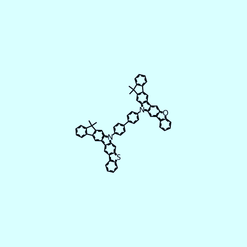 CC1(C)c2ccccc2-c2cc3c4cc5c(cc4n(-c4ccc(-c6ccc(-n7c8cc9c(cc8c8cc%10oc%11ccccc%11c%10cc87)-c7ccccc7C9(C)C)cc6)cc4)c3cc21)sc1ccccc15